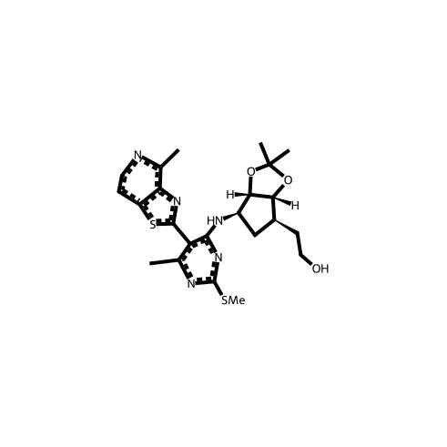 CSc1nc(C)c(-c2nc3c(C)nccc3s2)c(N[C@@H]2C[C@H](CCO)[C@H]3OC(C)(C)O[C@H]32)n1